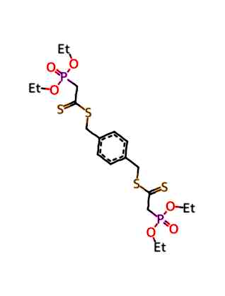 CCOP(=O)(CC(=S)SCc1ccc(CSC(=S)CP(=O)(OCC)OCC)cc1)OCC